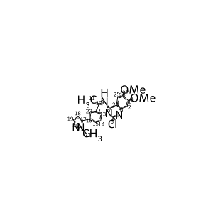 COc1cc2nc(Cl)nc(NC(C)c3cccc(-c4ccnn4C)c3)c2cc1OC